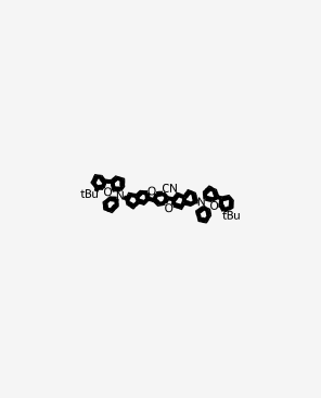 CC(C)(C)c1cccc2c1oc1c(N(c3ccccc3)c3ccc4cc5c(cc4c3)oc3c(C#N)c4c(cc35)oc3cc5cc(N(c6ccccc6)c6cccc7c6oc6c(C(C)(C)C)cccc67)ccc5cc34)cccc12